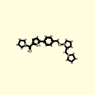 O=C(c1ccc(-c2ccc(CON3CCCC3CN3CCCC3)cc2)s1)N1CCCC1